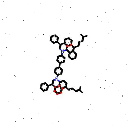 CC(C)=CC=Cc1ccc(N(C=C(c2ccccc2)c2ccccc2)c2ccc(-c3ccc(N(C=C(c4ccccc4)c4ccccc4)c4ccc(C=CC=C(C)C)c5ccccc45)cc3)cc2)c2ccccc12